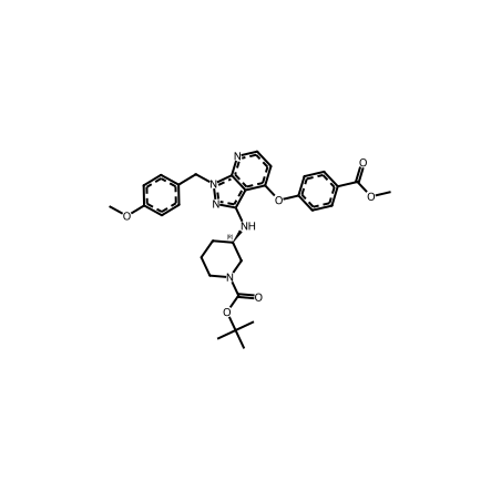 COC(=O)c1ccc(Oc2ccnc3c2c(N[C@@H]2CCCN(C(=O)OC(C)(C)C)C2)nn3Cc2ccc(OC)cc2)cc1